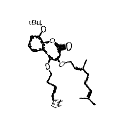 CC/C=C/CCOc1c(OC/C=C(\C)CCC=C(C)C)c(=O)oc2c(OC(C)(C)C)cccc12